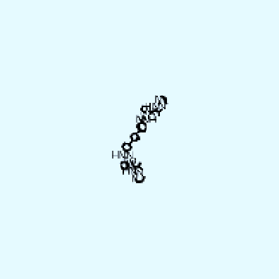 CC(C)[C@H](Nc1ncccn1)C(=O)N1CCC[C@H]1c1nc2cc(-c3ccc(-c4ccc5[nH]c([C@@H]6CCCN6C(=O)[C@@H](Nc6ncccn6)C(C)C)nc5c4)cc3)ccc2[nH]1